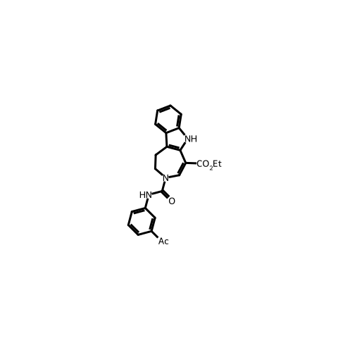 CCOC(=O)C1=CN(C(=O)Nc2cccc(C(C)=O)c2)CCc2c1[nH]c1ccccc21